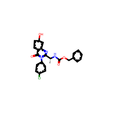 C[C@@H](NC(=O)OCc1ccccc1)c1nc2cc(O)ccc2c(=O)n1-c1ccc(Cl)cc1